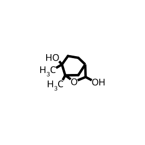 CC1(O)CCC2CC1(C)OC2O